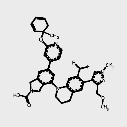 COCc1nn(C)cc1-c1cc2c(cc1C(F)F)N(c1cc(-c3ccnc(OC4(C)C=CC=CC4)c3)cc3c1CN(C(=O)O)C3)CCC2